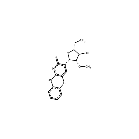 CC[C@H]1O[C@@H](n2cc3c(nc2=O)Nc2ccccc2O3)[C@@H](OC)C1O